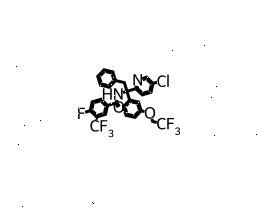 O=C(NC(Cc1ccccc1)(c1cccc(OCC(F)(F)F)c1)c1ccc(Cl)cn1)c1ccc(F)c(C(F)(F)F)c1